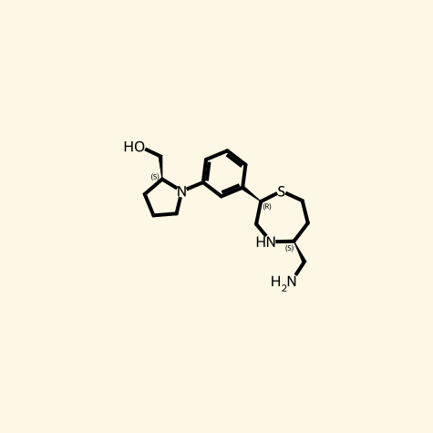 NC[C@@H]1CCS[C@H](c2cccc(N3CCC[C@H]3CO)c2)CN1